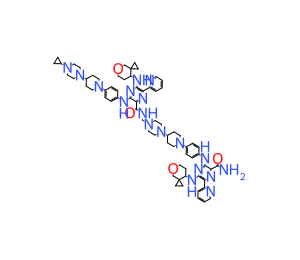 NC(=O)c1nc(-c2ccccn2)c(NC2CCOCC23CC3)nc1Nc1ccc(N2CCC(N3CCN(CNC(=O)c4nc(-c5ccccn5)c(NC5CCOCC56CC6)nc4Nc4ccc(N5CCC(N6CCN(C7CC7)CC6)CC5)cc4)CC3)CC2)cc1